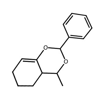 CC1OC(c2ccccc2)OC2=CCCCC21